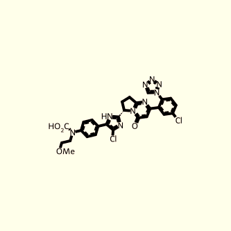 COCCN(C(=O)O)c1ccc(-c2[nH]c([C@@H]3CCc4nc(-c5cc(Cl)ccc5-n5cnnn5)cc(=O)n43)nc2Cl)cc1